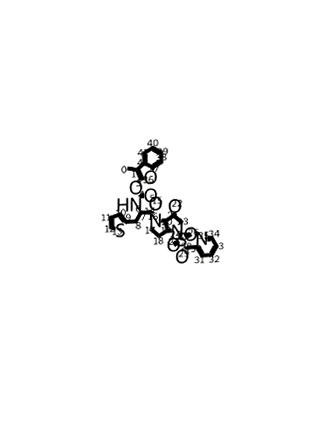 Cc1c(OC(=O)NC(Cc2cccs2)C(=O)N2CCC3C2C(=O)CN3S(=O)(=O)C(=O)c2ccccn2)oc2ccccc12